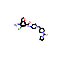 Nc1c(Cl)cc(C(=O)NC2CCN(CC3CCN(C(=O)N4CCCC4)CC3)CC2)c2c1CCO2